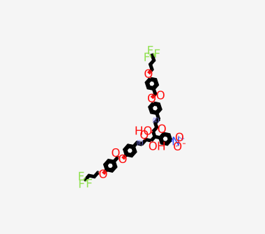 O=C(Oc1ccc(/C=C/C(=O)C(O)C(c2ccc([N+](=O)[O-])cc2)C(O)C(=O)/C=C/c2ccc(OC(=O)c3ccc(OCCCC(F)(F)F)cc3)cc2)cc1)c1ccc(OCCCC(F)(F)F)cc1